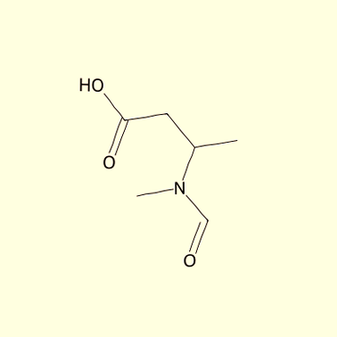 CC(CC(=O)O)N(C)C=O